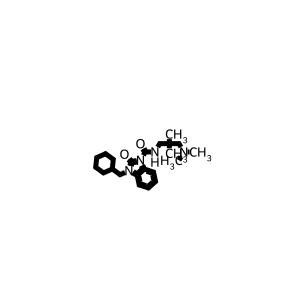 CN(C)CC(C)(C)CNC(=O)n1c(=O)n(CC2CCCCC2)c2ccccc21